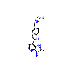 CCCCCNCc1ccc2[nH]c(-c3ccnc4[nH]c(C)nc34)cc2c1